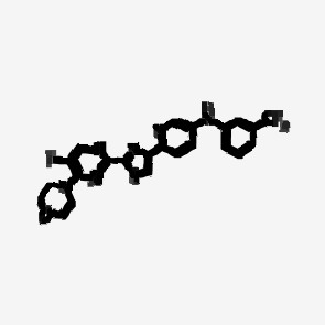 Fc1cnc(-c2nc(-c3ccc(Nc4cccc(C(F)(F)F)c4)cn3)cs2)nc1N1CCOCC1